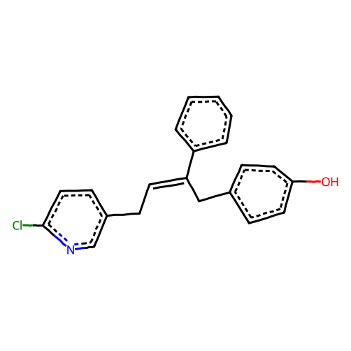 Oc1ccc(C/C(=C\Cc2ccc(Cl)nc2)c2ccccc2)cc1